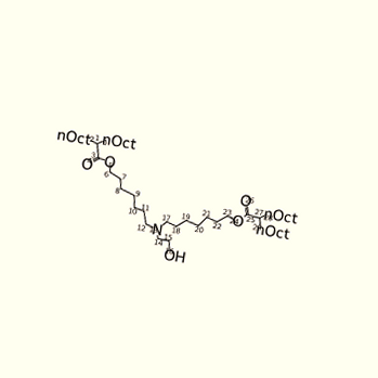 CCCCCCCCC(CCCCCCCC)C(=O)OCCCCCCCN(CCO)CCCCCCCOC(=O)C(CCCCCCCC)CCCCCCCC